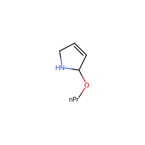 CCCOC1C=CCN1